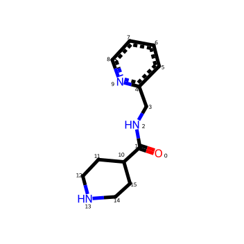 O=C(NCc1ccccn1)C1CCNCC1